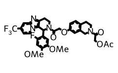 COc1cc(F)c(C2c3c(nc4cc(C(F)(F)F)ccn34)CCN2C(=O)COc2ccc3c(c2)CN(C(=O)COC(C)=O)CC3)cc1OC